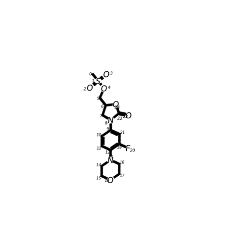 CS(=O)(=O)OCC1CN(c2ccc(N3CCOCC3)c(F)c2)C(=O)O1